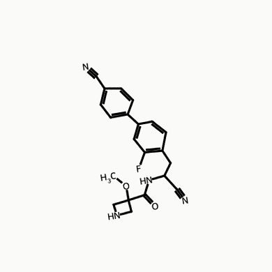 COC1(C(=O)NC(C#N)Cc2ccc(-c3ccc(C#N)cc3)cc2F)CNC1